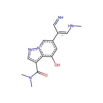 CN/C=C(\C=N)c1cc(O)c2c(C(=O)N(C)C)cnn2c1